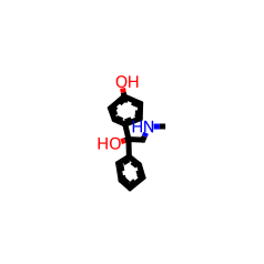 CNCC(O)(c1ccccc1)c1ccc(O)cc1